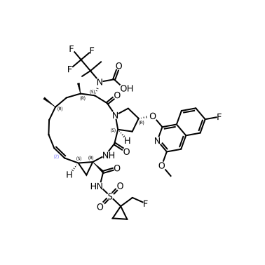 COc1cc2cc(F)ccc2c(O[C@@H]2C[C@H]3C(=O)N[C@]4(C(=O)NS(=O)(=O)C5(CF)CC5)C[C@H]4/C=C\CC[C@@H](C)C[C@@H](C)[C@H](N(C(=O)O)C(C)(C)C(F)(F)F)C(=O)N3C2)n1